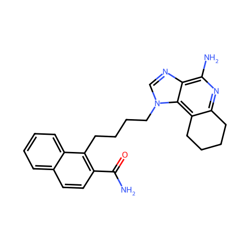 NC(=O)c1ccc2ccccc2c1CCCCn1cnc2c(N)nc3c(c21)CCCC3